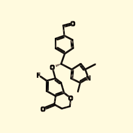 Cc1cc([C@H](Oc2cc3c(cc2F)C(=O)CCO3)c2ccc(C=O)cc2)cc(C)n1